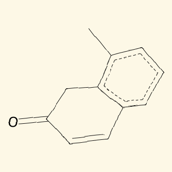 Cc1cccc2c1CC(=O)C=C2